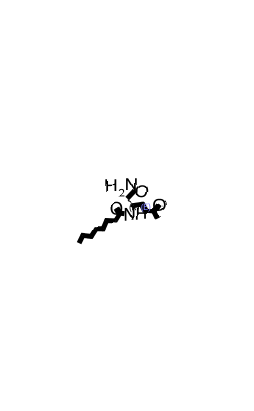 CCCCCCCC(=O)N[C@@H](/C=C/C(C)=O)CC(N)=O